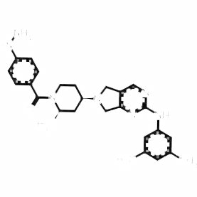 Cc1cc(C)cc(Nc2ncc3c(n2)CN([C@@H]2CCN(C(=O)c4ccc(NN)cc4)[C@H](C)C2)C3)c1